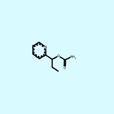 CCC(OC(N)=O)c1ccccn1